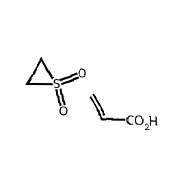 C=CC(=O)O.O=S1(=O)CC1